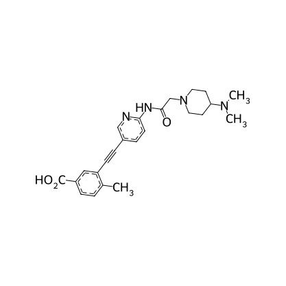 Cc1ccc(C(=O)O)cc1C#Cc1ccc(NC(=O)CN2CCC(N(C)C)CC2)nc1